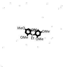 CCP(c1c(OC)cc(OC)cc1OC)c1c(OC)cc(OC)cc1OC